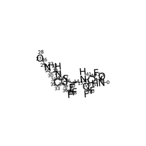 CNC(=O)c1cc(OC(F)F)c(NCC#Cc2sc3c(NC4CCN(CCOC)CC4)cccc3c2CC(F)(F)F)cc1F